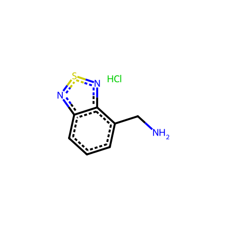 Cl.NCc1cccc2nsnc12